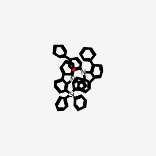 c1ccc(-c2ccc(-n3c4c(-c5ccccc5)cccc4c4cccc(-n5c6ccccc6c6cccc([Si](c7ccccc7)(c7ccccc7)c7ccccc7)c65)c43)cc2)cc1